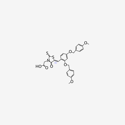 COc1ccc(COc2ccc(/C=C3\SC(=S)N(CC(=O)O)C3=O)c(OCc3ccc(OC)cc3)c2)cc1